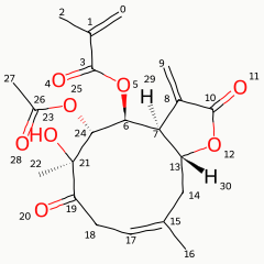 C=C(C)C(=O)O[C@H]1[C@H]2C(=C)C(=O)O[C@@H]2C/C(C)=C\CC(=O)[C@@](C)(O)[C@@H]1OC(C)=O